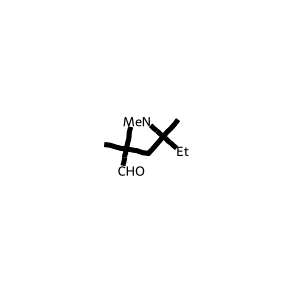 CCC(C)(CC(C)(C)C=O)NC